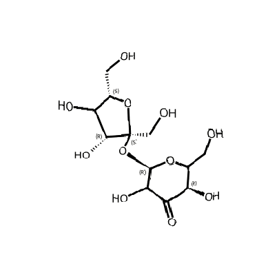 O=C1C(O)[C@@H](O[C@]2(CO)O[C@@H](CO)C(O)[C@H]2O)OC(CO)[C@H]1O